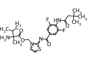 CC(C)C(C)(N)C(=O)OCn1ccsc1=NC(=O)c1cc(F)c(NC(=O)CC(C)(C)C)c(F)c1